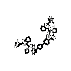 Cn1cncc1C(=O)N[C@@H](C(=O)N1CCC[C@H]1c1ncc(-c2ccc(-c3ccc(-c4cnc([C@@H]5CCCN5C(=O)[C@H](NC(=O)c5cncn5C)c5ccccc5)[nH]4)cc3)cc2)[nH]1)c1ccccc1